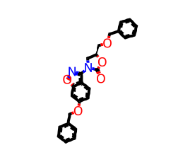 O=C1O[C@H](COCc2ccccc2)CN1c1noc2cc(OCc3ccccc3)ccc12